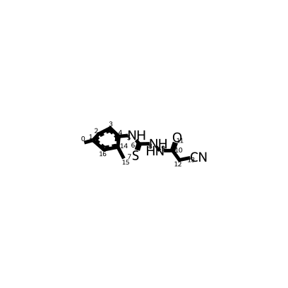 Cc1ccc(NC(=S)NNC(=O)CC#N)c(C)c1